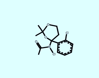 CC(=O)N(Cl)C1(c2ccccc2Cl)CCOC(C)(C)O1